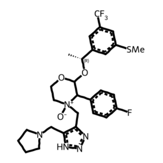 CSc1cc([C@@H](C)OC2OCC[N+]([O-])(Cc3nn[nH]c3CN3CCCC3)C2c2ccc(F)cc2)cc(C(F)(F)F)c1